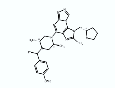 COc1ccc(C(C(C)C)N2C[C@H](C)N(c3nc4nncn4c4c3nc(C)n4C[C@@H]3CCCO3)C[C@H]2C)cc1